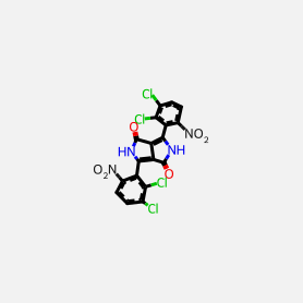 O=C1NC(c2c([N+](=O)[O-])ccc(Cl)c2Cl)=C2C(=O)NC(c3c([N+](=O)[O-])ccc(Cl)c3Cl)=C12